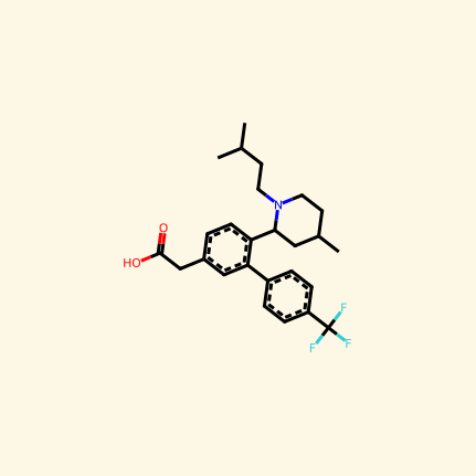 CC(C)CCN1CCC(C)CC1c1ccc(CC(=O)O)cc1-c1ccc(C(F)(F)F)cc1